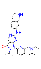 CCN(Cc1cccc(-n2c3nc(Nc4ccc5c(c4)CNCC5)ncc3c(=O)n2C(C)C)n1)C(C)C